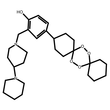 Oc1ccc(C2CCC3(CC2)OOC2(CCCCC2)OO3)cc1CN1CCC(N2CCCCC2)CC1